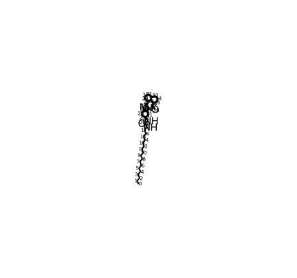 CCCCCCCCCCCCCCCCCCNC(=O)Nc1ccc2nc3c4cccc5cccc(c(=O)n3c2c1)c54